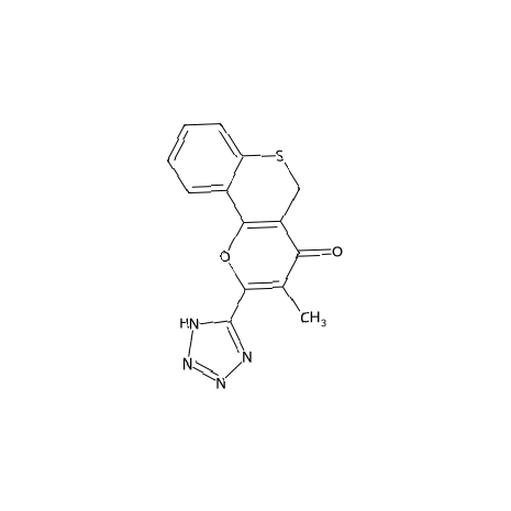 Cc1c(-c2nnn[nH]2)oc2c(c1=O)CSc1ccccc1-2